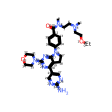 CCOCCN(C)CCN(C)C(=O)c1ccc(N2CCc3c(-c4cnc(N)nc4)nc(N4CCOCC4)nc32)cc1